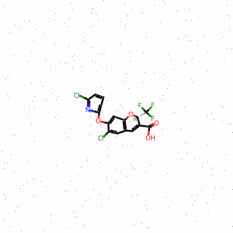 O=C(O)C1=Cc2cc(Cl)c(Oc3cccc(Cl)n3)cc2O[C@@H]1C(F)(F)F